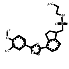 CC(=O)OCCNS(=O)(=O)CC1CCc2c(-c3noc(-c4ccc(OC(C)C)c(C#N)c4)n3)cccc21